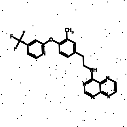 Cc1cc(CCNc2ncnc3nccnc23)ccc1Oc1cc(C(F)(F)F)ccn1